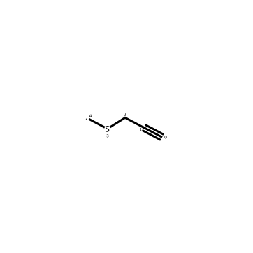 C#CCS[CH2]